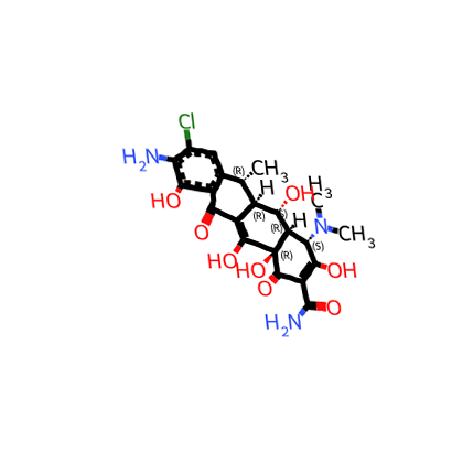 C[C@H]1c2cc(Cl)c(N)c(O)c2C(=O)C2=C(O)[C@@]3(O)C(=O)C(C(N)=O)=C(O)[C@@H](N(C)C)[C@@H]3[C@@H](O)[C@@H]21